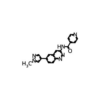 Cn1cc(-c2ccc3nnc(NC(=O)c4ccncc4)cc3c2)cn1